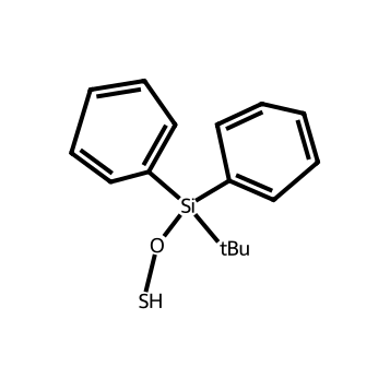 CC(C)(C)[Si](OS)(c1ccccc1)c1ccccc1